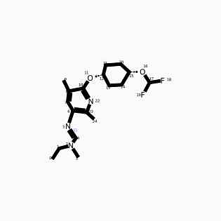 CCN(C)/C=N/c1cc(C)c(O[C@H]2CC[C@@H](OC(F)F)CC2)nc1C